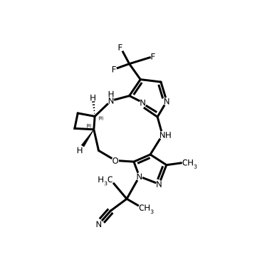 Cc1nn(C(C)(C)C#N)c2c1Nc1ncc(C(F)(F)F)c(n1)N[C@@H]1CC[C@H]1CO2